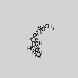 CCOC(=O)CCCOc1ccc(C[C@H](Nc2nc3ccccc3o2)C(=O)O)cc1